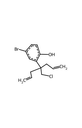 C=CCC(CCl)(CC=C)c1cc(Br)ccc1O